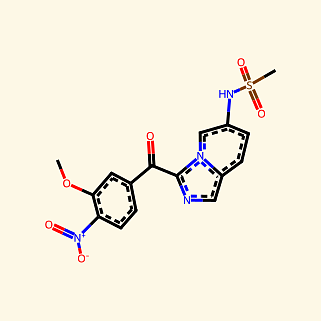 COc1cc(C(=O)c2ncc3ccc(NS(C)(=O)=O)cn23)ccc1[N+](=O)[O-]